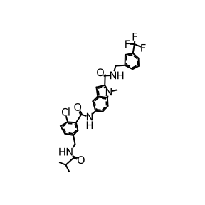 CC(C)C(=O)NCc1ccc(Cl)c(C(=O)Nc2ccc3c(c2)cc(C(=O)NCc2cccc(C(F)(F)F)c2)n3C)c1